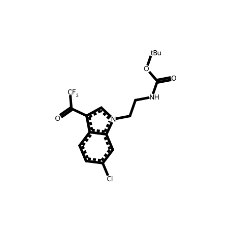 CC(C)(C)OC(=O)NCCn1cc(C(=O)C(F)(F)F)c2ccc(Cl)cc21